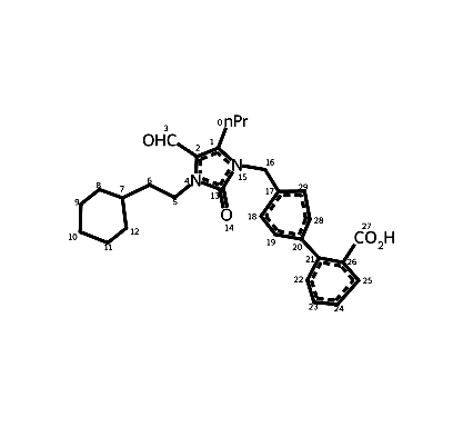 CCCc1c(C=O)n(CCC2CCCCC2)c(=O)n1Cc1ccc(-c2ccccc2C(=O)O)cc1